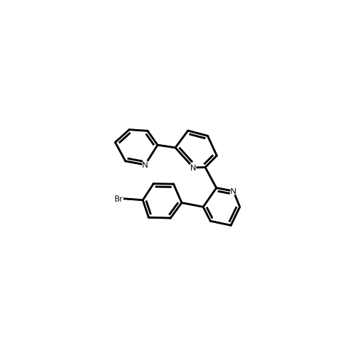 Brc1ccc(-c2cccnc2-c2cccc(-c3ccccn3)n2)cc1